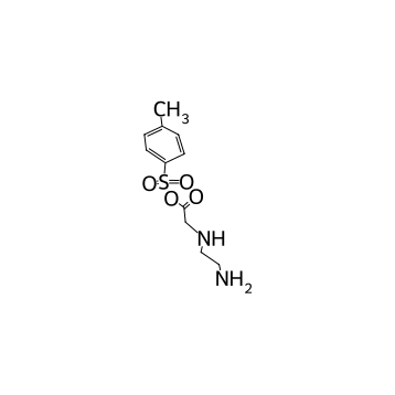 Cc1ccc(S(=O)(=O)OC(=O)CNCCN)cc1